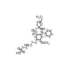 CCCC[C@]1(CC)CS(=O)(=O)c2cc(CCCNCCS(=O)(=O)O)c(OC)cc2[C@@H](c2ccccc2)N1